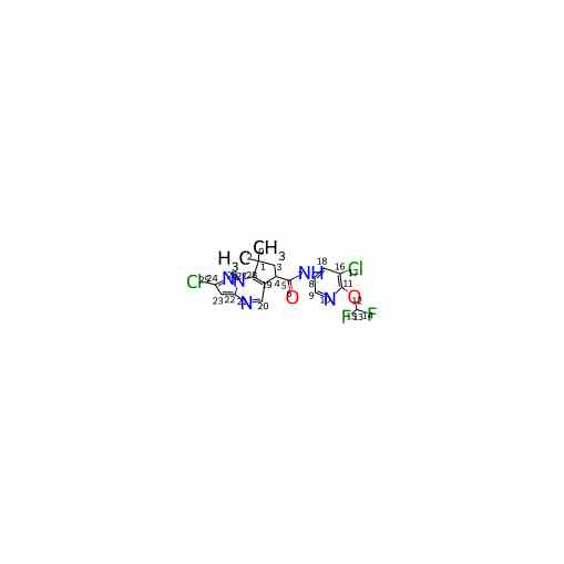 CC1(C)CC(C(=O)Nc2cnc(OC(F)F)c(Cl)c2)c2cnc3cc(Cl)nn3c21